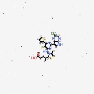 CC1=CSC(C(C)CCC(=O)O)N1Nc1nc(-c2c[nH]c3ncc(Cl)nc23)nc(-c2cccs2)c1F